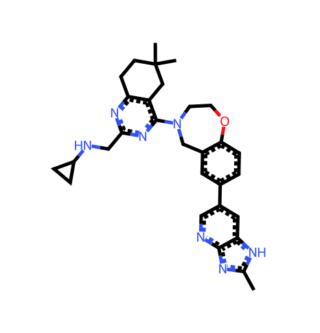 Cc1nc2ncc(-c3ccc4c(c3)CN(c3nc(CNC5CC5)nc5c3CC(C)(C)CC5)CCO4)cc2[nH]1